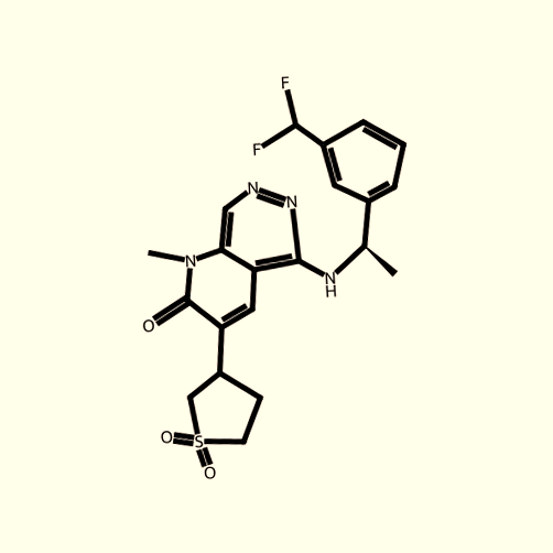 C[C@@H](Nc1nncc2c1cc(C1CCS(=O)(=O)C1)c(=O)n2C)c1cccc(C(F)F)c1